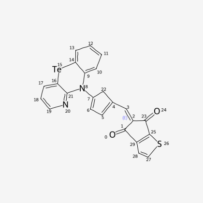 O=C1/C(=C\C2=CC=C(N3c4ccccc4[Te]c4cccnc43)C2)C(=O)c2sccc21